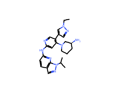 CCn1cc(-c2cnc(Nc3ccc4cnn(C(C)C)c4n3)cc2N2CCC[C@H](N)C2)cn1